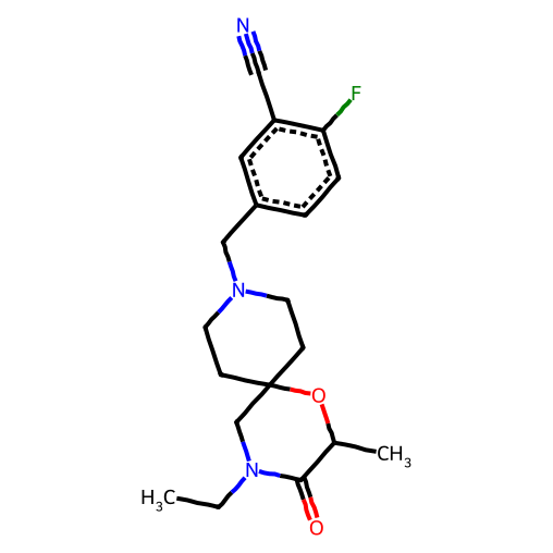 CCN1CC2(CCN(Cc3ccc(F)c(C#N)c3)CC2)OC(C)C1=O